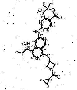 CC[C@@H](N)c1cnc(OC2CN(C(=O)C3CC3)C2)c2cnc(Nc3ccc4c(n3)[C@@H](C)C(C)(C)OC4=O)cc12